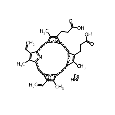 Br.C=CC1=C(C)c2cc3[nH]c(cc4nc(cc5[nH]c(cc1n2)c(C)c5CCC(=O)O)C(CCC(=O)O)=C4C)c(C)c3C=C.[Fe]